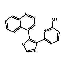 Cc1cccc(-c2ncoc2-c2ccnc3ccccc23)n1